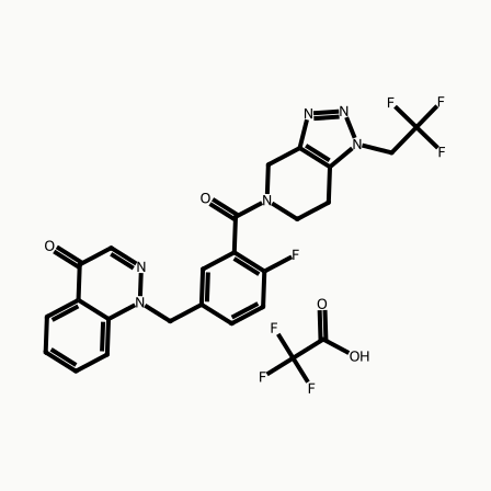 O=C(O)C(F)(F)F.O=C(c1cc(Cn2ncc(=O)c3ccccc32)ccc1F)N1CCc2c(nnn2CC(F)(F)F)C1